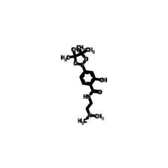 CN(C)CCNC(=O)c1ccc(B2OC(C)(C)C(C)(C)O2)cc1O